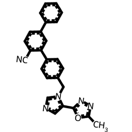 Cc1nnc(-c2cncn2Cc2ccc(-c3cc(-c4ccccc4)ccc3C#N)cc2)o1